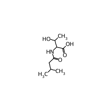 CC(C)CC(=O)NC(C(=O)O)C(C)O